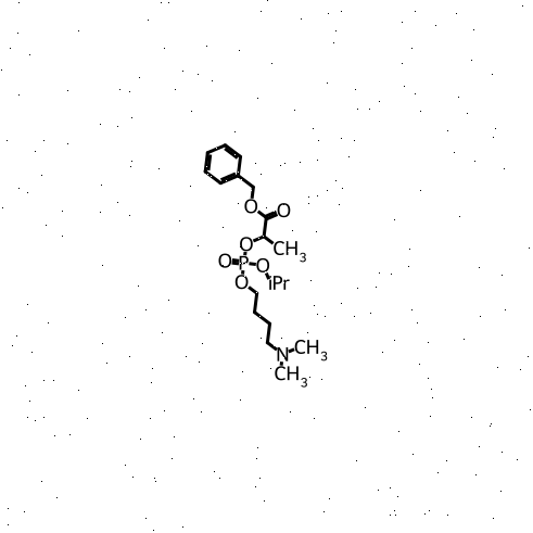 CC(C)OP(=O)(OCCCCN(C)C)OC(C)C(=O)OCc1ccccc1